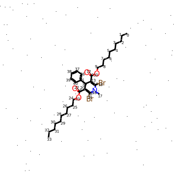 CCCCCCCCCCOC(=O)C1=C(Br)N(C)C(Br)=C(C(=O)OCCCCCCCCCC)C1c1ccccc1